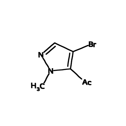 CC(=O)c1c(Br)cnn1C